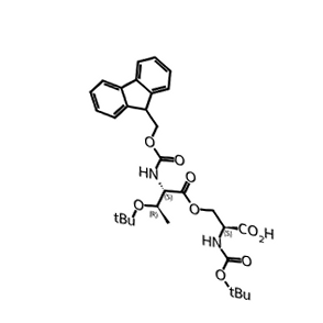 C[C@@H](OC(C)(C)C)[C@H](NC(=O)OCC1c2ccccc2-c2ccccc21)C(=O)OC[C@H](NC(=O)OC(C)(C)C)C(=O)O